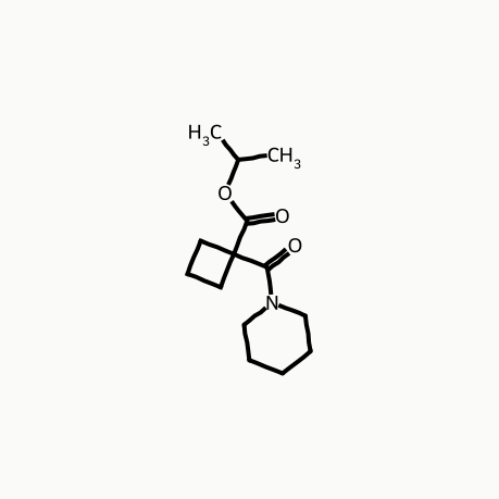 CC(C)OC(=O)C1(C(=O)N2CCCCC2)CCC1